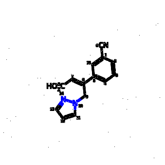 N#Cc1cccc(C(=CC(=O)O)Cn2cccn2)c1